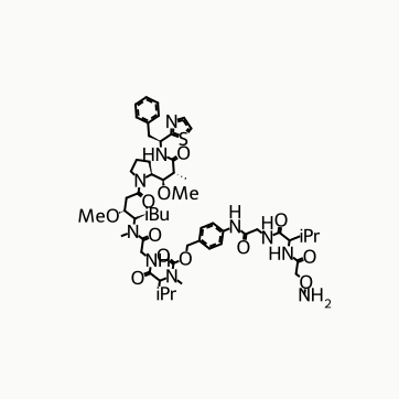 CC[C@H](C)C([C@@H](CC(=O)N1CCC[C@H]1[C@H](OC)[C@@H](C)C(=O)N[C@@H](Cc1ccccc1)c1nccs1)OC)N(C)C(=O)CNC(=O)C(C(C)C)N(C)C(=O)OCc1ccc(NC(=O)CNC(=O)C(NC(=O)CON)C(C)C)cc1